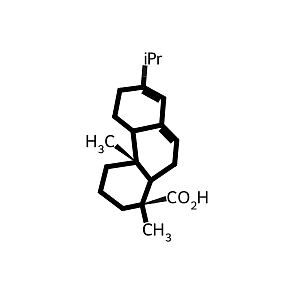 CC(C)C1=CC2=CCC3[C@](C)(CCC[C@]3(C)C(=O)O)C2CC1